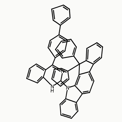 c1ccc(-c2ccc(C3=NC(n4c5ccccc5c5ccc6c(c54)C(c4ccccc4)(c4ccccc4)c4ccccc4-6)Nc4ccccc43)cc2)cc1